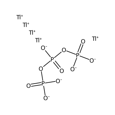 O=P([O-])([O-])OP(=O)([O-])OP(=O)([O-])[O-].[Tl+].[Tl+].[Tl+].[Tl+].[Tl+]